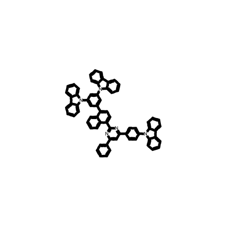 c1ccc(-c2cc(-c3ccc(-n4c5ccccc5c5ccccc54)cc3)nc(-c3ccc(-c4cc(-n5c6ccccc6c6ccccc65)cc(-n5c6ccccc6c6ccccc65)c4)c4ccccc34)n2)cc1